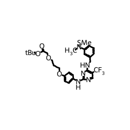 CSN(C)c1cccc(CNc2nc(Nc3ccc(OCCCOCC(=O)OC(C)(C)C)cc3)ncc2C(F)(F)F)c1